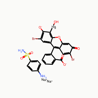 Nc1ccc(S(N)(=O)=O)cc1.O=C([O-])c1ccccc1-c1c2cc(Br)c(=O)cc-2oc2[c]([Hg][OH])c([O-])c(Br)cc12.[Na+].[Na+]